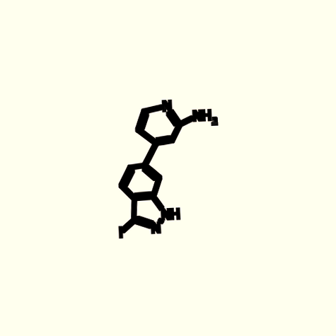 Nc1cc(-c2ccc3c(I)n[nH]c3c2)ccn1